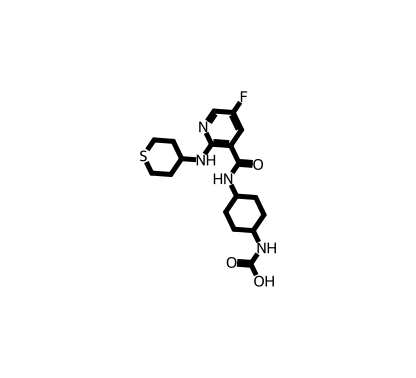 O=C(O)NC1CCC(NC(=O)c2cc(F)cnc2NC2CCSCC2)CC1